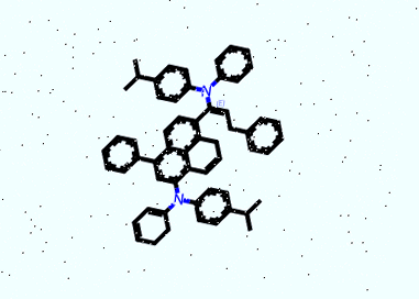 CC(C)c1ccc(N(C2=CC=CCC2)c2cc(-c3ccccc3)c3ccc(/C(=C\Cc4ccccc4)N(c4ccccc4)c4ccc(C(C)C)cc4)c4c3c2C=CC4)cc1